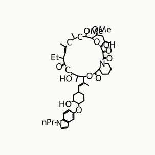 CCCn1ccc2cc(OC3CCC(C=C(C)C4OC(=O)C5CCCCN5C(=O)C(=O)C5(O)OC(C(OC)CC(C)C/C(C)=C/C(CC)C(=O)CC(O)C4C)C(OC)CC5C)CC3O)ccc21